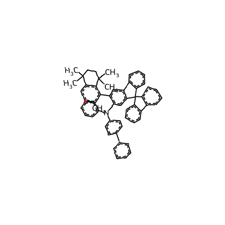 Cc1ccc2c(c1-c1cc3c(cc1N(c1ccccc1)c1ccc(-c4ccccc4)cc1)C1(c4ccccc4-c4ccccc41)c1ccccc1-3)C(C)(C)CCC2(C)C